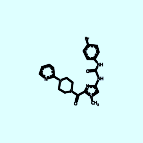 Cn1cc(NC(=O)Nc2ccc(Br)cc2)nc1C(=O)N1CCN(c2ccccn2)CC1